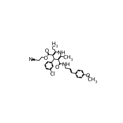 COc1ccc(/C=C/CNC(=O)C2=C(C)NC(C)=C(C(=O)OCCC#N)C2c2cccc(Cl)c2)cc1